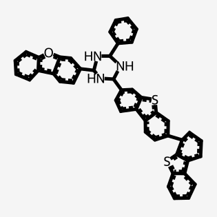 c1ccc(C2NC(c3ccc4c(c3)oc3ccccc34)NC(c3ccc4c(c3)sc3cc(-c5cccc6c5sc5ccccc56)ccc34)N2)cc1